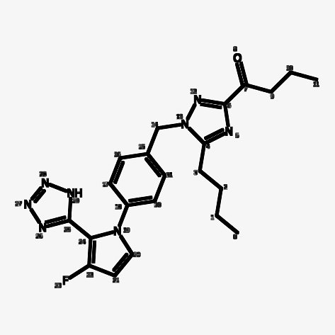 CCCCc1nc(C(=O)CCC)nn1Cc1ccc(-n2ccc(F)c2-c2nnn[nH]2)cc1